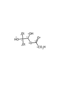 CCC(O)(CC)C(O)OC(=O)C(=O)O